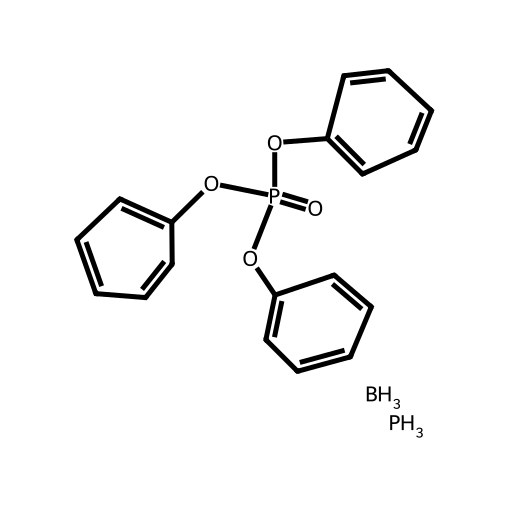 B.O=P(Oc1ccccc1)(Oc1ccccc1)Oc1ccccc1.P